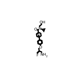 NC/C(=C\F)COc1ccc(C23CCC(C(=O)N(CCO)C4CC4)(CC2)CC3)cc1